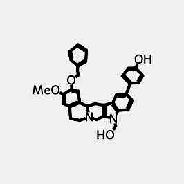 COc1cc2c(cc1OCc1ccccc1)C1Cc3c(n(CO)c4ccc(-c5ccc(O)cc5)cc34)CN1CC2